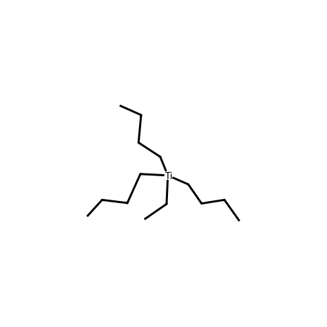 CCC[CH2][Ti]([CH2]C)([CH2]CCC)[CH2]CCC